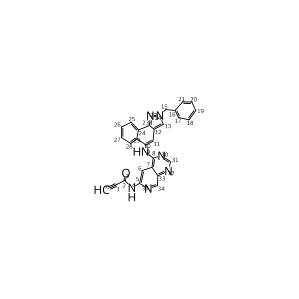 C#CC(=O)Nc1cc2c(Nc3cc4cn(Cc5ccccc5)nc4c4ccccc34)ncnc2cn1